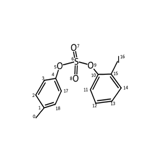 Cc1ccc(OS(=O)(=O)Oc2ccccc2I)cc1